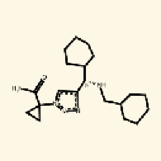 NC(=O)C1(n2cc([C@@H](NCC3CCCCC3)C3CCCCC3)nn2)CC1